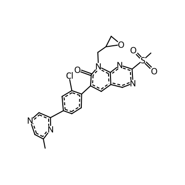 Cc1cncc(-c2ccc(-c3cc4cnc(S(C)(=O)=O)nc4n(CC4CO4)c3=O)c(Cl)c2)n1